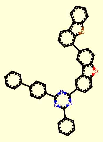 c1ccc(-c2ccc(-c3nc(-c4ccccc4)nc(-c4ccc5oc6ccc(-c7cccc8c7sc7ccccc78)cc6c5c4)n3)cc2)cc1